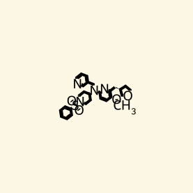 COc1ccc(N(Cc2cccnc2)C2CCN(S(=O)(=O)c3ccccc3)CC2)nc1C[C@@H]1CCOC1